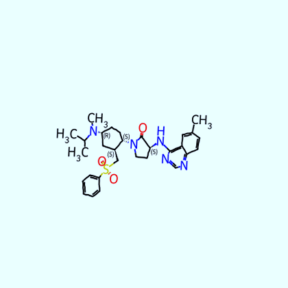 Cc1ccc2ncnc(N[C@H]3CCN([C@H]4CC[C@@H](N(C)C(C)C)C[C@@H]4CS(=O)(=O)c4ccccc4)C3=O)c2c1